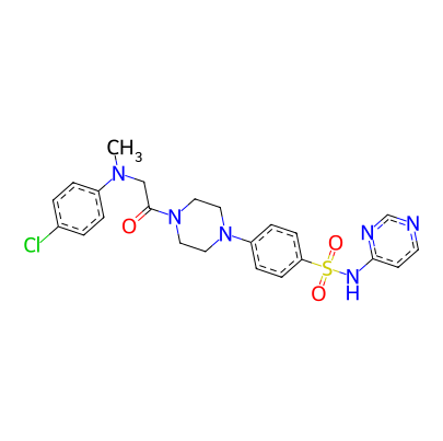 CN(CC(=O)N1CCN(c2ccc(S(=O)(=O)Nc3ccncn3)cc2)CC1)c1ccc(Cl)cc1